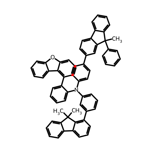 CC1(C)c2ccccc2-c2cccc(-c3cccc(N(c4ccc(-c5ccc6c(c5)C(C)(c5ccccc5)c5ccccc5-6)cc4)c4ccccc4-c4cccc5oc6ccccc6c45)c3)c21